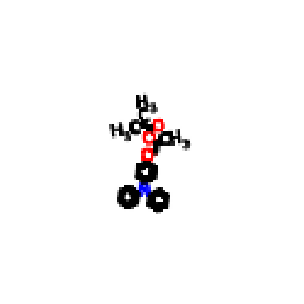 CC(COc1ccc(N(c2ccccc2)c2ccccc2)cc1)OC(=O)C(C)C